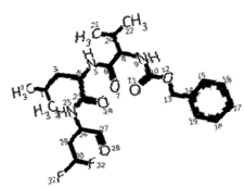 CC(C)CC(NC(=O)C(NC(=O)OCc1ccccc1)C(C)C)C(=O)NC(C=O)CC(F)F